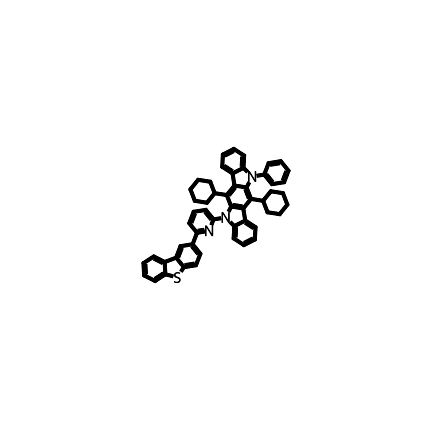 c1ccc(-n2c3ccccc3c3c(C4CCCCC4)c4c(c(C5CCCCC5)c32)c2ccccc2n4-c2cccc(-c3ccc4sc5ccccc5c4c3)n2)cc1